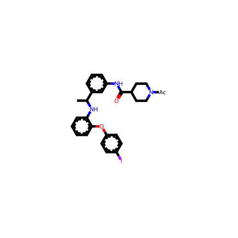 CC(=O)N1CCC(C(=O)Nc2cccc(C(C)Nc3ccccc3Oc3ccc(I)cc3)c2)CC1